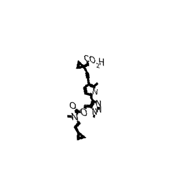 Cc1nc(-c2nnn(C)c2COC(=O)N(C)CCC2CC2)ccc1C#CC1(CC(=O)O)CC1